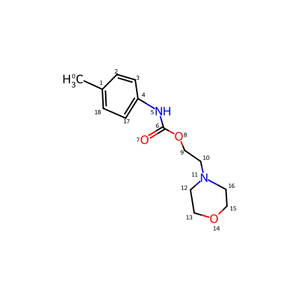 Cc1ccc(NC(=O)OCCN2CCOCC2)cc1